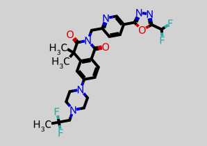 CC(F)(F)CN1CCN(c2ccc3c(c2)C(C)(C)C(=O)N(Cc2ccc(-c4nnc(C(F)F)o4)cn2)C3=O)CC1